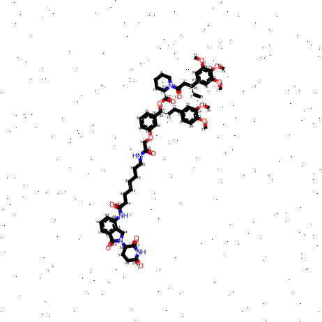 CC[C@H](CC(=O)N1CCCC[C@H]1C(=O)O[C@H](CCc1ccc(OC)c(OC)c1)c1cccc(OCC(=O)NCCCCCCCC(=O)Nc2cccc3c2CN(C2CCC(=O)NC2=O)C3=O)c1)c1cc(OC)c(OC)c(OC)c1